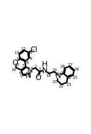 O=C(Cn1ncc2c1-c1cc(Cl)ccc1OC2)NCCN1CCCc2ccccc21